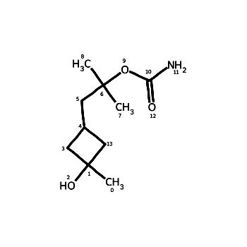 CC1(O)CC(CC(C)(C)OC(N)=O)C1